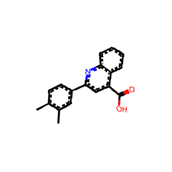 Cc1ccc(-c2cc(C(=O)O)c3ccccc3n2)cc1C